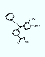 COc1ccc(N(CCc2cccnc2)c2cccc(C(=O)OC(C)(C)C)c2)cc1OC